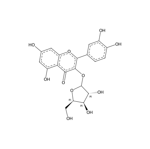 O=c1c(OC2O[C@H](CO)[C@H](O)[C@H]2O)c(-c2ccc(O)c(O)c2)oc2cc(O)cc(O)c12